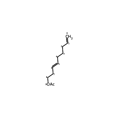 C=CCCCC=CCCOC(C)=O